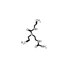 C=CCNC(=O)N(CC=C)CCNC(N)=O